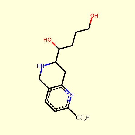 O=C(O)c1ccc2c(n1)CC(C(O)CCCO)NC2